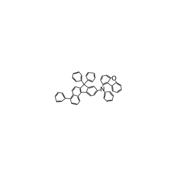 c1ccc(-c2cccc3c4c(ccc23)C(c2ccccc2)(c2ccccc2)c2cc(N(c3ccccc3)c3cccc5oc6ccccc6c35)ccc2-4)cc1